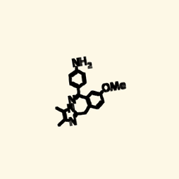 COc1ccc2c(c1)C(c1ccc(N)cc1)=Nn1c(nc(C)c1C)C2